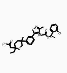 CCC1(CC(=O)O)CCC(C)(c2cccc(-c3onc(C)c3NC(=O)O[C@H](C)c3ccccc3Cl)c2)CO1